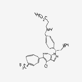 CC(C)CC(c1ccc(CNCCC(=O)O)cc1)n1ncc2c(Cl)c(-c3ccc(C(F)(F)F)cc3)ccc21